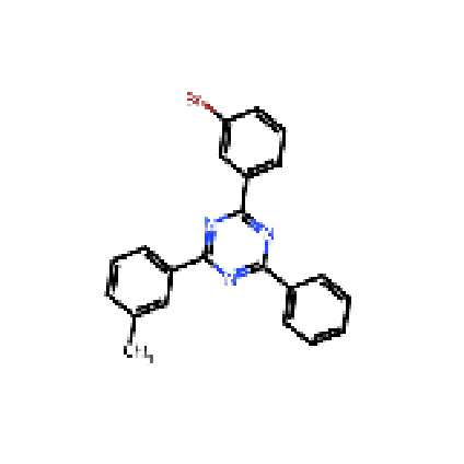 Cc1cccc(-c2nc(-c3ccccc3)nc(-c3cccc(Br)c3)n2)c1